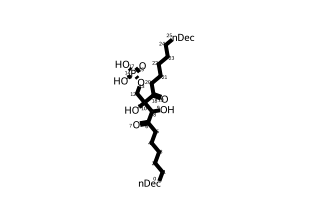 CCCCCCCCCCCCCCCC(=O)C(O)C(O)(COP(=O)(O)O)C(=O)CCCCCCCCCCCCCCC